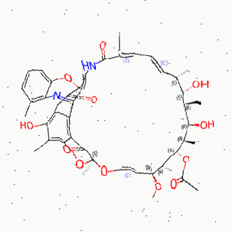 CO[C@H]1/C=C/O[C@@]2(C)Oc3c(C)c(O)c4c(=O)c(c5oc6cccc(C)c6nc-5c4c3C2=O)NC(=O)/C(C)=C\C=C\[C@H](C)[C@H](O)[C@@H](C)[C@@H](O)[C@@H](C)[C@H](OC(C)=O)[C@@H]1C